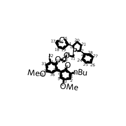 CCCCc1cc(OC)cc2c1op(OCP1[C@@H](c3ccccc3)CC[C@H]1c1ccccc1)oc1c(I)cc(OC)cc12